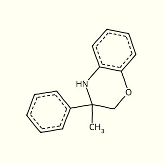 CC1(c2ccccc2)COc2ccccc2N1